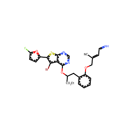 CCOC(=O)C(Cc1ccccc1OC/C(C#N)=C/C=N)Oc1ncnc2sc(-c3ccc(F)o3)c(Br)c12